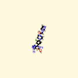 COC(=S)NC(c1ccc(N2CCN(C(=O)Cn3ccnc3)CC2)c(F)c1)c1c[nH]nn1